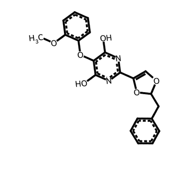 COc1ccccc1Oc1c(O)nc(C2=COC(Cc3ccccc3)O2)nc1O